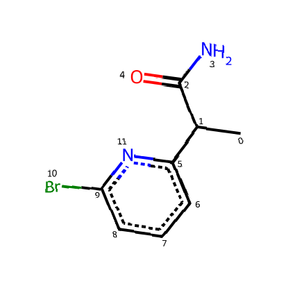 CC(C(N)=O)c1cccc(Br)n1